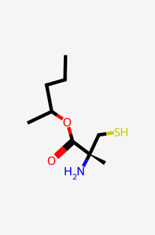 CCCC(C)OC(=O)[C@@](C)(N)CS